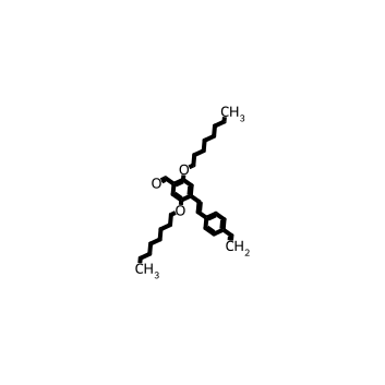 C=Cc1ccc(C=Cc2cc(OCCCCCCCC)c(C=O)cc2OCCCCCCCC)cc1